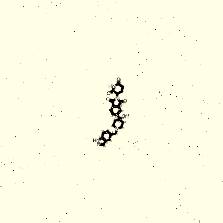 O=C1CCC(N2C(=O)c3ccc(C4(O)CCN(Cc5ccc6[nH]ncc6c5)CC4)cc3C2=O)C(=O)N1